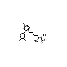 Cc1cc(C)c(C=CCCC(O)C(O)C(=O)O)c(-c2ccc(F)c(C)c2)c1